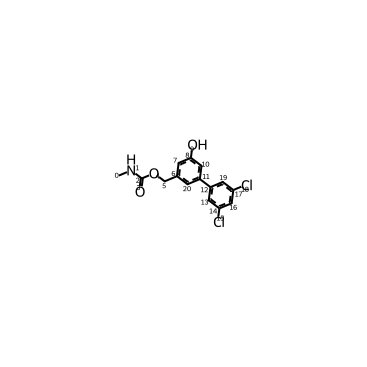 CNC(=O)OCc1cc(O)cc(-c2cc(Cl)cc(Cl)c2)c1